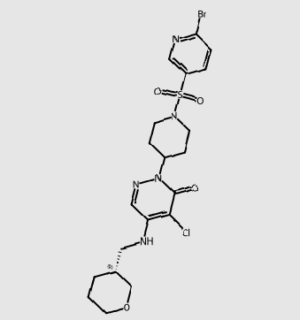 O=c1c(Cl)c(NC[C@H]2CCCOC2)cnn1C1CCN(S(=O)(=O)c2ccc(Br)nc2)CC1